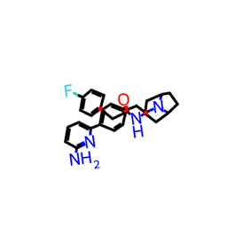 Nc1cccc(-c2ccc(CCN3C4CCC3CC(NC(=O)Cc3ccc(F)cc3)C4)cc2)n1